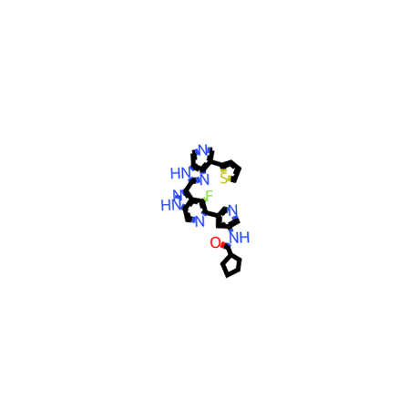 O=C(Nc1cncc(-c2ncc3[nH]nc(-c4nc5c(-c6cccs6)cncc5[nH]4)c3c2F)c1)C1CCCC1